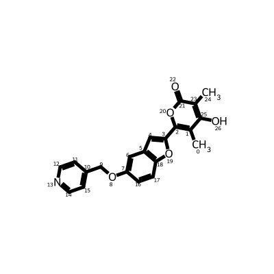 Cc1c(-c2cc3cc(OCc4ccncc4)ccc3o2)oc(=O)c(C)c1O